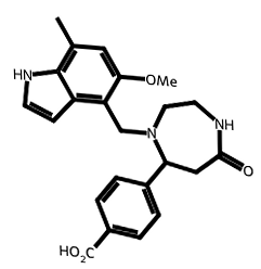 COc1cc(C)c2[nH]ccc2c1CN1CCNC(=O)CC1c1ccc(C(=O)O)cc1